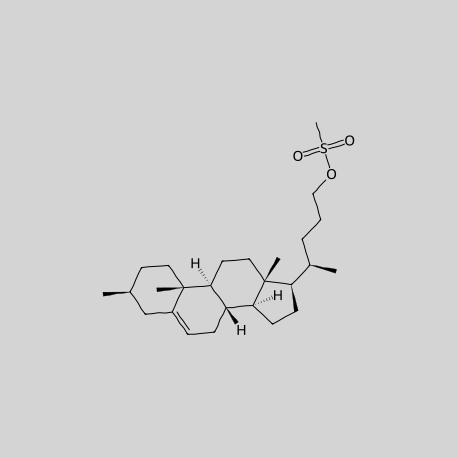 C[C@H]1CC[C@@]2(C)C(=CC[C@H]3[C@@H]4CC[C@H]([C@H](C)CCCOS(C)(=O)=O)[C@@]4(C)CC[C@@H]32)C1